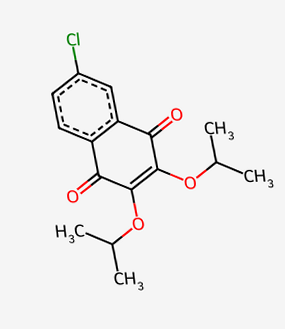 CC(C)OC1=C(OC(C)C)C(=O)c2cc(Cl)ccc2C1=O